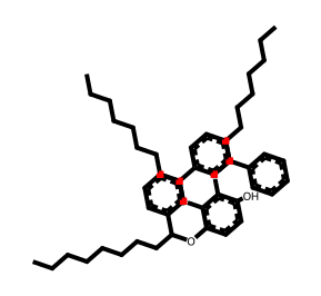 CCCCCCCCC(Oc1ccc(O)c(OC(CCCCCCCC)c2ccccc2)c1OC(CCCCCCCC)c1ccccc1)c1ccccc1